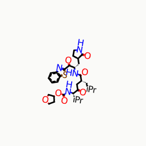 CC(C)C[C@H](CC(=O)[C@@H](NC(=O)OC1CCOC1)C(C)C)C(=O)N[C@@H](CC1CCNC1=O)C(=O)c1nc2ccccc2s1